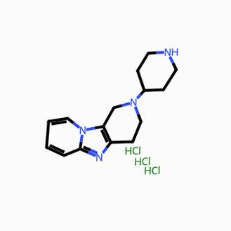 Cl.Cl.Cl.c1ccn2c3c(nc2c1)CCN(C1CCNCC1)C3